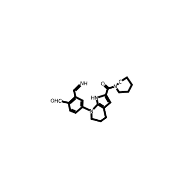 N=Cc1cc(N2CCCc3cc(C(=O)N4CCCCC4)[nH]c32)ccc1C=O